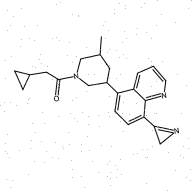 CC1CC(c2ccc(C3=NC3)c3ncccc23)CN(C(=O)CC2CC2)C1